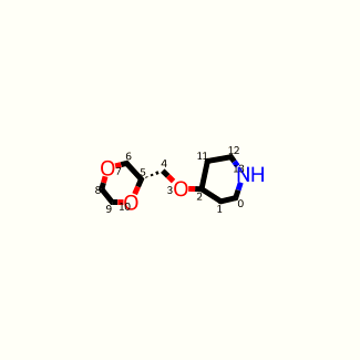 C1CC(OC[C@H]2COCCO2)CCN1